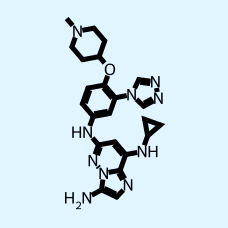 CN1CCC(Oc2ccc(Nc3cc(NC4CC4)c4ncc(N)n4n3)cc2-n2cnnc2)CC1